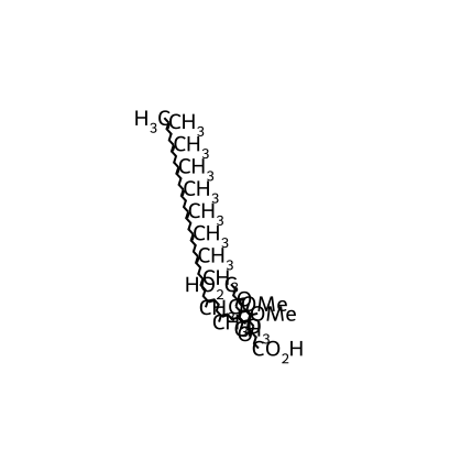 COc1c(OC(=O)CCC(=O)O)c(C)c(C/C=C(\C)CC/C=C(\C)CC/C=C(\C)CC/C=C(\C)CC/C=C(\C)CC/C=C(\C)CC/C=C(\C)CC/C=C(\C)CC/C=C(\C)CCC=C(C)C)c(OC(=O)CCC(=O)O)c1OC